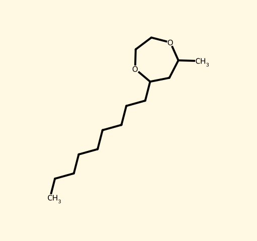 CCCCCCCCCC1CC(C)OCCO1